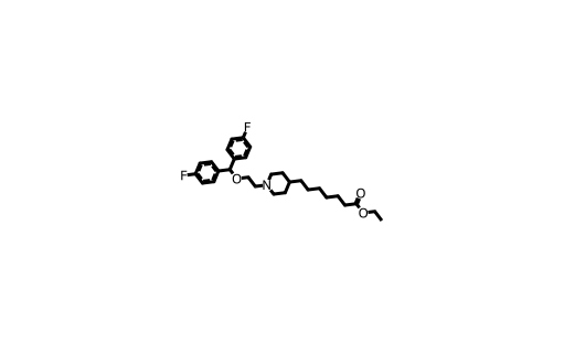 CCOC(=O)CCCCCCC1CCN(CCOC(c2ccc(F)cc2)c2ccc(F)cc2)CC1